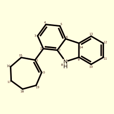 C1=C(c2cccc3c2[nH]c2ccccc23)CCCCC1